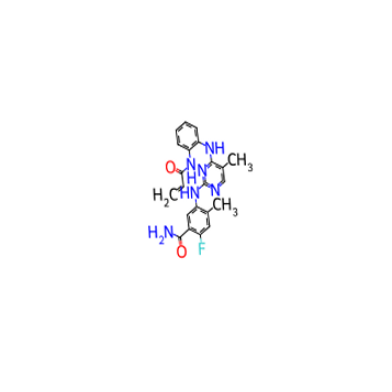 C=CC(=O)Nc1ccccc1Nc1nc(Nc2cc(C(N)=O)c(F)cc2C)ncc1C